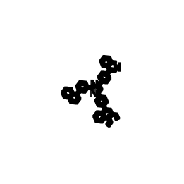 C=Cc1cc(-c2ccc(-c3cc(-c4ccc(-c5cncc6ccccc56)cc4)nc(-c4cccc(C5C=CC=C6C=CC=CC65)c4)n3)cc2)c2ccccc2c1C=C